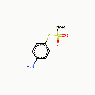 CNS(=O)(=O)Sc1ccc(N)cc1